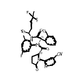 CCC(CCC(C)(F)F)NC(=O)[C@H](c1ccccc1Cl)N(C(=O)[C@@H]1CCC(=O)N1c1cc(C#N)ccn1)c1cc(C)cc(F)c1